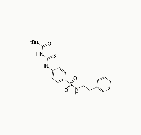 CC(C)(C)C(=O)NC(=S)Nc1ccc(S(=O)(=O)NCCc2ccccc2)cc1